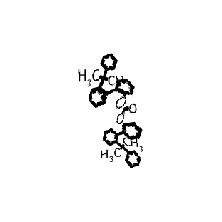 CC(C)(c1ccccc1)c1ccccc1-c1ccccc1OC(=O)Oc1ccccc1-c1ccccc1C(C)(C)c1ccccc1